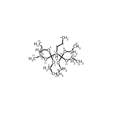 [CH2]CC[SiH](C(O[SiH2]C)(O[SiH2]C)O[SiH2]C)C(O[SiH2]C)(O[SiH2]C)O[SiH2]C